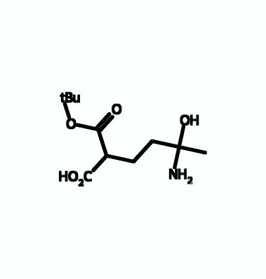 CC(N)(O)CCC(C(=O)O)C(=O)OC(C)(C)C